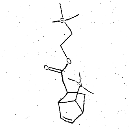 C[Si](C)(C)CCOC(=O)C1CC2C=CC1C2[Si](C)(C)C